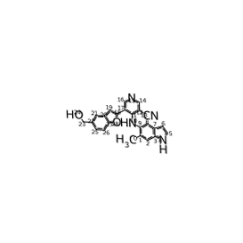 Cc1cc2[nH]ccc2cc1Nc1c(C#N)cncc1-c1cc2cc(CO)ccc2o1